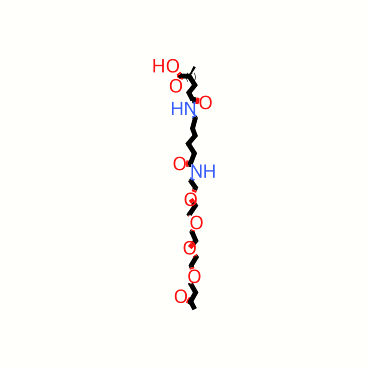 CC(=O)CCOCCOCCOCCOCCNC(=O)CCCCCNC(=O)CC[C@H](C)C(=O)O